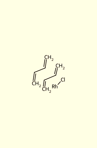 C=CC=C.C=CC=C.[Cl][Rh]